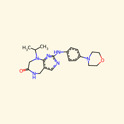 CC(C)N1CC(=O)NCc2cnc(Nc3ccc(N4CCOCC4)cc3)nc21